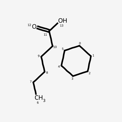 C1CCCCC1.CCCCCC(=O)O